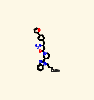 COCCCn1c(C2CCCN(C(=O)CC(N)Cc3ccc(-c4ccco4)cc3)C2)nc2ccccc21